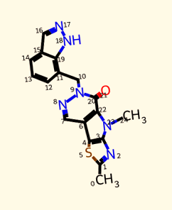 Cc1nc2c(s1)c1cnn(Cc3cccc4cn[nH]c34)c(=O)c1n2C